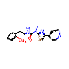 O=C(NCCc1ccccc1O)Nc1nc(-c2ccncc2)cs1